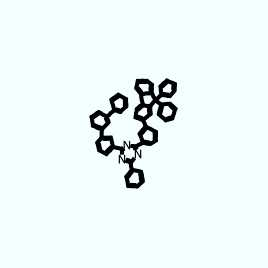 c1ccc(-c2cccc(-c3cccc(-c4nc(-c5ccccc5)nc(-c5cccc(-c6ccc7c(c6)C(c6ccccc6)(c6ccccc6)c6ccccc6-7)c5)n4)c3)c2)cc1